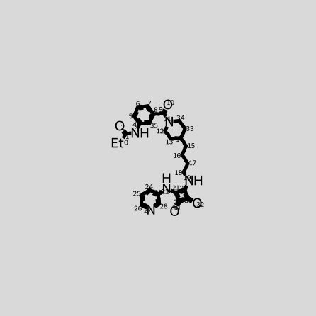 CCC(=O)Nc1cccc(C(=O)N2CCC(CCCCNc3c(Nc4cccnc4)c(=O)c3=O)CC2)c1